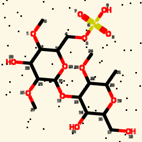 COC1C(COS(=O)(=O)O)OC(OC2C(O)C(CO)OC(C)C2OC)C(OC)C1O